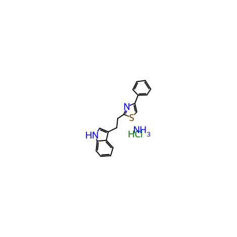 Cl.N.c1ccc(-c2csc(CCc3c[nH]c4ccccc34)n2)cc1